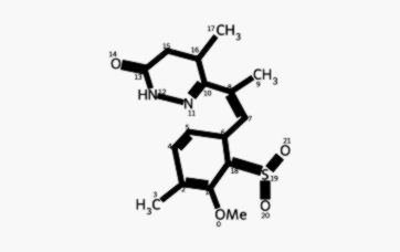 COC1=C(C)C=CC(C=C(C)C2=NNC(=O)CC2C)C1=S(=O)=O